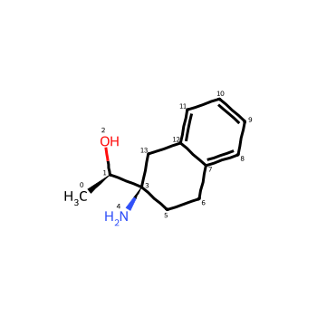 C[C@@H](O)[C@@]1(N)CCc2ccccc2C1